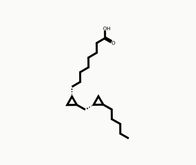 CCCCCC1C[C@H]1CC1C[C@@H]1CCCCCCCC(=O)O